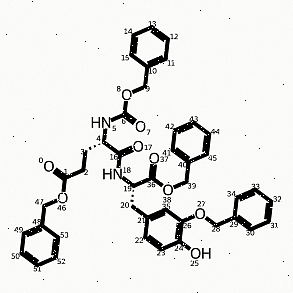 O=C(CC[C@H](NC(=O)OCc1ccccc1)C(=O)N[C@@H](Cc1ccc(O)c(OCc2ccccc2)c1)C(=O)OCc1ccccc1)OCc1ccccc1